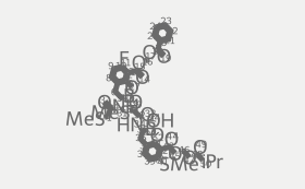 CSCC(=O)N[C@H]1Cc2ccc(F)c(C(=O)OCOC(=O)c3ccccc3)c2OB1OC(SC)C(=O)N[C@H]1Cc2ccc(SC)c(C(=O)OCOC(=O)C(C)C)c2OB1O